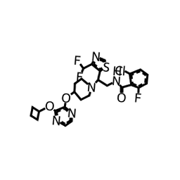 O=C(NCC(c1scnc1C(F)F)N1CCC(Oc2nccnc2OC2CCC2)CC1)c1c(F)cccc1Cl